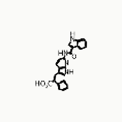 O=C(O)/C(=C/c1c[nH]c2nc(NC(=O)c3c[nH]c4ccccc34)ccc12)c1ccccc1